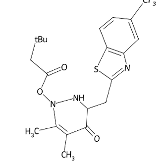 CC1=C(C)N(OC(=O)CC(C)(C)C)NC(Cc2nc3cc(C(F)(F)F)ccc3s2)C1=O